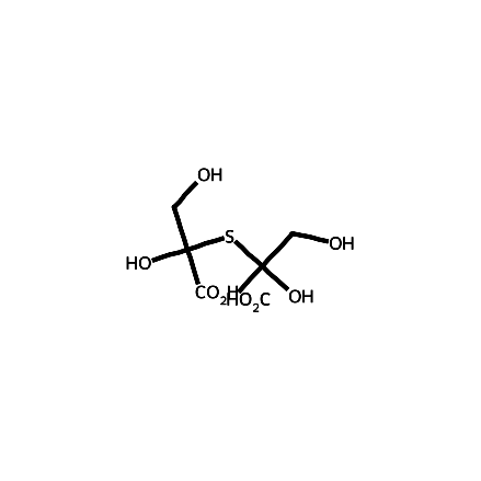 O=C(O)C(O)(CO)SC(O)(CO)C(=O)O